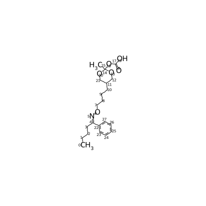 CCCCC(=NOCCCCC1COC(C)(OC(=O)O)OC1)c1ccccc1